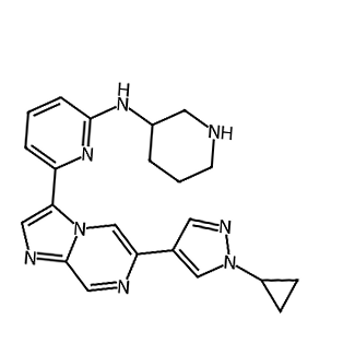 c1cc(NC2CCCNC2)nc(-c2cnc3cnc(-c4cnn(C5CC5)c4)cn23)c1